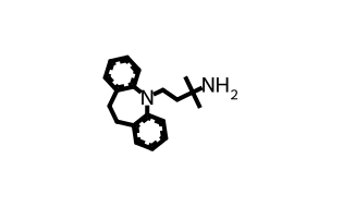 CC(C)(N)CCN1c2ccccc2CCc2ccccc21